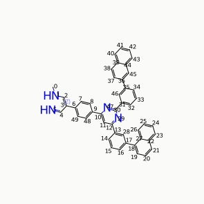 CN/C=C(\C=N)c1ccc(-c2cc(-c3cccc(-c4cccc5ccccc45)c3)nc(-c3cccc(-c4ccc5ccccc5c4)c3)n2)cc1